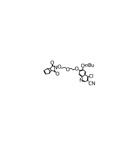 CCCCOc1cc2c(Cl)c(C#N)cnc2cc1OCCOCCON1C(=O)C2C3C=CC(C3)C2C1=O